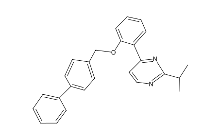 CC(C)c1nccc(-c2ccccc2OCc2ccc(-c3ccccc3)cc2)n1